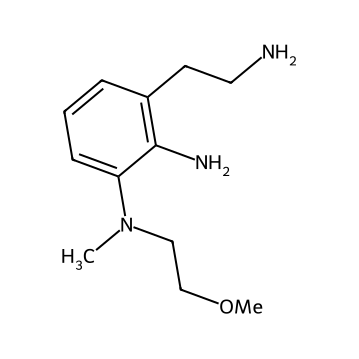 COCCN(C)c1cccc(CCN)c1N